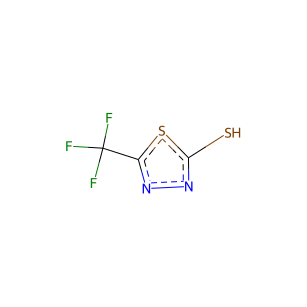 FC(F)(F)c1nnc(S)s1